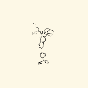 CCCCC(O)Oc1cc2ccc(-c3ccc(C(=O)O)cc3)cc2cc1C12CC3CC(CC(C3)C1)C2